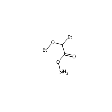 CCOC(CC)C(=O)O[SiH3]